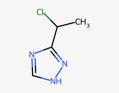 CC(Cl)c1nc[nH]n1